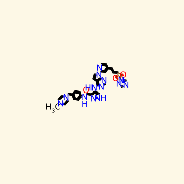 CN1CCN(Cc2ccc(NC(=O)c3n[nH]cc3Nc3ncnc4c3ccn4-c3cc(CCCS(=O)(=O)n4cncn4)ccn3)cc2)CC1